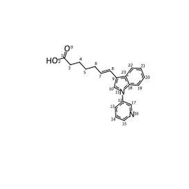 O=C(O)CCCCC=Cc1cn(-c2cccnc2)c2ccccc12